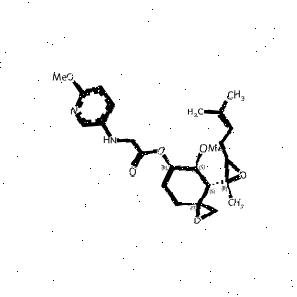 COc1ccc(NCC(=O)O[C@@H]2CC[C@]3(CO3)[C@@H]([C@@]3(C)OC3CC=C(C)C)[C@@H]2OC)cn1